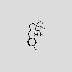 CC1(C)CCC(Cc2ccc(Cl)cc2)C1(O)CCl